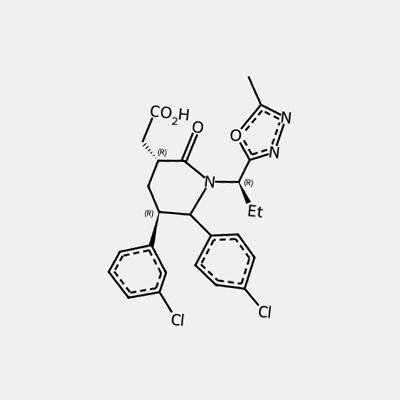 CC[C@H](c1nnc(C)o1)N1C(=O)[C@@H](CC(=O)O)C[C@H](c2cccc(Cl)c2)C1c1ccc(Cl)cc1